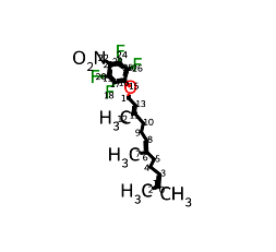 CC(C)=CCC/C(C)=C/CC/C(C)=C/COc1c(F)c(F)c([N+](=O)[O-])c(F)c1F